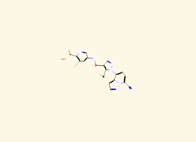 COC(C)c1ncc(NC(=O)c2cnn(-c3ccc(C#N)n4nccc34)c2C(F)(F)F)cc1Cl